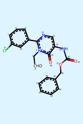 O=CCn1c(-c2cccc(Cl)c2)ncc(NC(=O)OCc2ccccc2)c1=O